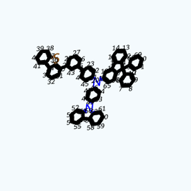 c1ccc(C2(c3ccccc3)c3ccccc3-c3cc(N(c4ccc(-c5cccc(-c6cccc7c6sc6ccccc67)c5)cc4)c4ccc(-n5c6ccccc6c6ccccc65)cc4)ccc32)cc1